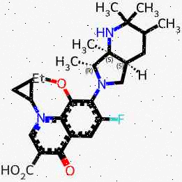 CCOc1c(N2C[C@@H]3CC(C)C(C)(C)N[C@]3(C)[C@H]2C)c(F)cc2c(=O)c(C(=O)O)cn(C3CC3)c12